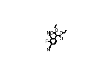 CCOC(=O)C(C(=O)OCC)c1ccc(C#N)c(F)c1C#N